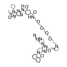 CC[C@@H]1C(=O)N(C)c2cnc(Nc3ccc(C(=O)NCCOCCOCCOCCOCCCN4CCC[C@H]4COc4nc5c(c(N6CCN[C@@H](CC#N)C6)n4)CCN(c4cccc6cccc(Cl)c46)C5)cc3OC)nc2N1C1CCCC1